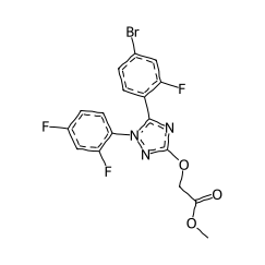 COC(=O)COc1nc(-c2ccc(Br)cc2F)n(-c2ccc(F)cc2F)n1